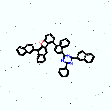 c1ccc(-c2nc(-c3ccc4ccccc4c3)nc(-c3ccc(-c4cccc5oc6c(-c7ccc8ccccc8c7)c7ccccc7cc6c45)c4ccccc34)n2)cc1